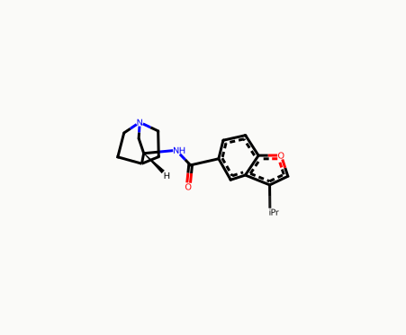 CC(C)c1coc2ccc(C(=O)N[C@H]3CN4CCC3CC4)cc12